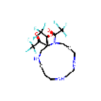 O=C(N1CCCNCCNCCCNCC1(C(=O)C(F)(F)F)C(=O)C(F)(F)F)C(F)(F)F